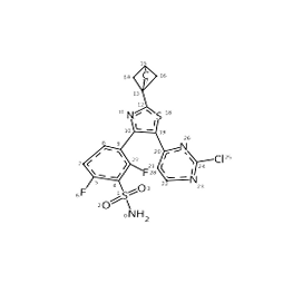 NS(=O)(=O)c1c(F)ccc(-c2nc(C34CC(C3)C4)sc2-c2ccnc(Cl)n2)c1F